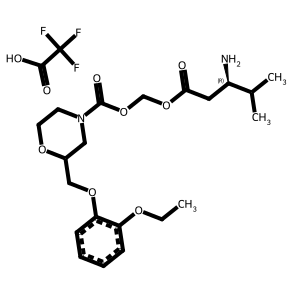 CCOc1ccccc1OCC1CN(C(=O)OCOC(=O)C[C@@H](N)C(C)C)CCO1.O=C(O)C(F)(F)F